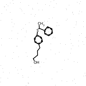 CC(Sc1ccc(CCCCO)cc1)c1ccccc1